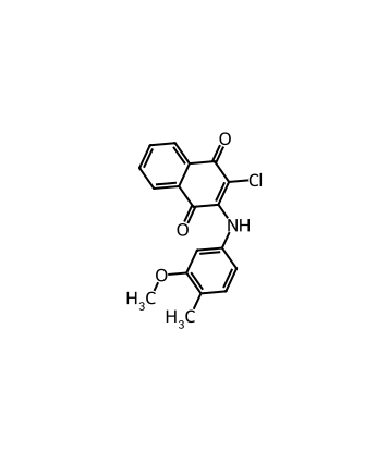 COc1cc(NC2=C(Cl)C(=O)c3ccccc3C2=O)ccc1C